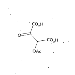 CC(=O)OC(C(=O)O)C(=O)C(=O)O